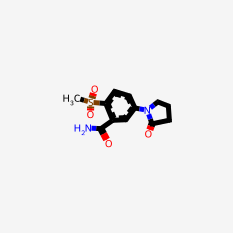 CS(=O)(=O)c1ccc(N2CCCC2=O)cc1C(N)=O